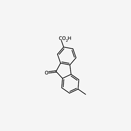 Cc1ccc2c(c1)-c1ccc(C(=O)O)cc1C2=O